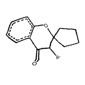 O=C1c2ccccc2OC2(CCCC2)C1Br